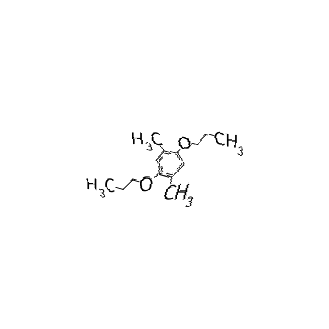 CCCOc1cc(C)c(OCCC)cc1C